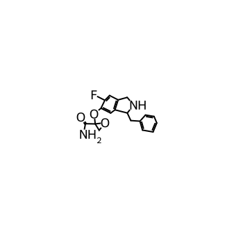 NC(=O)C1(Oc2cc3c(cc2F)CNC3Cc2ccccc2)CO1